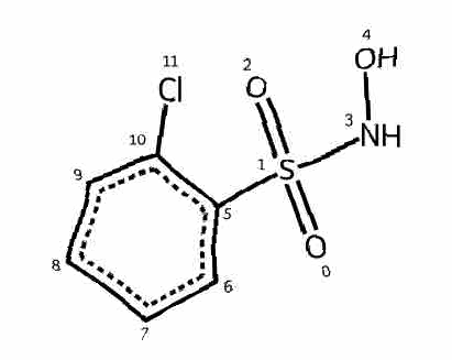 O=S(=O)(NO)c1ccccc1Cl